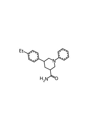 CCc1ccc(C2CC(C(N)=O)CN(c3ccccc3)C2)cc1